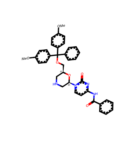 COc1ccc(C(OC[C@@H]2CNC[C@H](n3ccc(NC(=O)c4ccccc4)nc3=O)O2)(c2ccccc2)c2ccc(OC)cc2)cc1